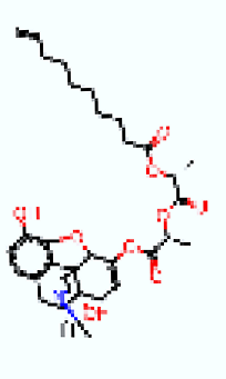 C=CCCCCCCCC(=O)O[C@H](C)C(=O)O[C@@H](C)C(=O)OC1=CC[C@@]2(O)[C@H]3Cc4ccc(O)c5c4C2(CCN3C)C1O5